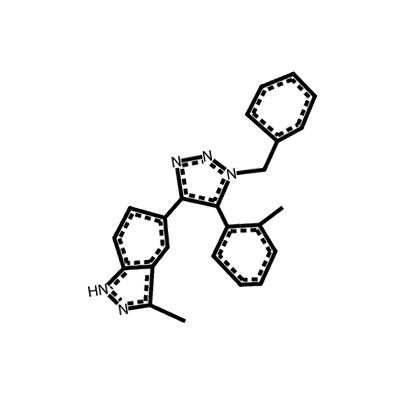 Cc1ccccc1-c1c(-c2ccc3[nH]nc(C)c3c2)nnn1Cc1ccccc1